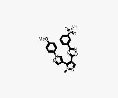 COc1ccc(-n2cc(-c3c(-c4nc(-c5cccc(S(N)(=O)=O)c5)no4)cnn3C)cn2)cc1